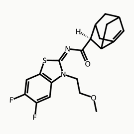 COCCn1c(=NC(=O)[C@H]2C3CC4=CC(C3)CC42)sc2cc(F)c(F)cc21